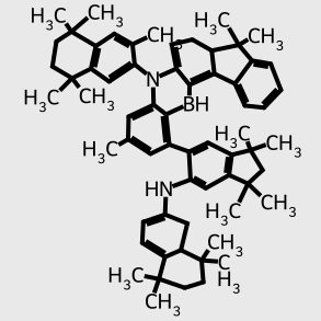 Cc1cc(-c2cc3c(cc2NC2=CC=C4C(C2)C(C)(C)CCC4(C)C)C(C)(C)CC3(C)C)c2c(c1)N(c1cc3c(cc1C)C(C)(C)CCC3(C)C)C1=CCC3C(=C1B2)c1ccccc1C3(C)C